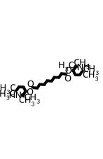 CC1(C)CCC(OC(=O)CCCCCCCCC(=O)OC2CCC(C)(C)NC2(C)C)C(C)(C)N1